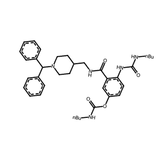 CCCCNC(=O)Nc1ccc(OC(=O)NCCCC)cc1C(=O)NCC1CCN(C(c2ccccc2)c2ccccc2)CC1